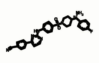 N#Cc1ccc(-c2ccnc(Nc3ccc(S(=O)(=O)N4CCC([C@H](N)c5ccc(F)cc5)CC4)cc3)n2)cc1